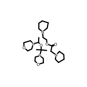 CC(OC(C)(C)N1CCOCC1)N1CCOCC1.O=C(CN1CCCCC1)OCCN1CCCCC1